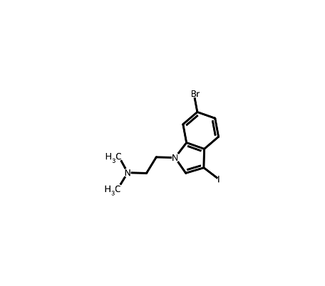 CN(C)CCn1cc(I)c2ccc(Br)cc21